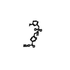 COC(=O)c1ccc(CNS(=O)(=O)Cc2cccc(F)c2)nc1